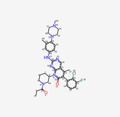 CCC(=O)N1CCCC(n2c(=O)c(-c3cccc(F)c3Cl)c(C)c3cnc(Nc4ccc(N5CCN(C)CC5)c(C)c4)nc32)C1